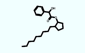 CCCCCCCCCC1CCCC1OC(=O)C(O)c1ccccc1